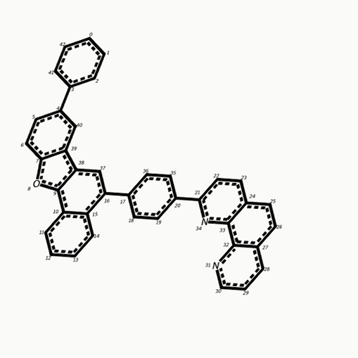 c1ccc(-c2ccc3oc4c5ccccc5c(-c5ccc(-c6ccc7ccc8cccnc8c7n6)cc5)cc4c3c2)cc1